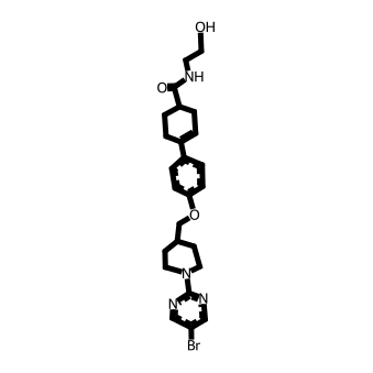 O=C(NCCO)C1CC=C(c2ccc(OCC3CCN(c4ncc(Br)cn4)CC3)cc2)CC1